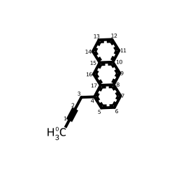 CC#CCc1cccc2cc3ccccc3cc12